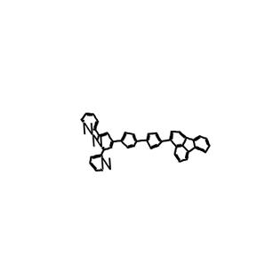 c1ccc(-c2cc(-c3ccc(-c4ccc(-c5ccc6c7c(cccc57)-c5ccccc5-6)cc4)cc3)cc(-c3ccccn3)n2)nc1